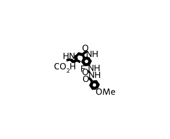 COc1ccc(C(=O)NC(=O)Nc2cc3c(cc2F)C(=Cc2[nH]c(C)c(C(=O)O)c2C)C(=O)N3)cc1